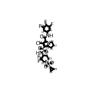 O=C(Nc1cc(F)c(F)c(F)c1)c1c(Cl)c(S(=O)(=O)NC2CCN(S(=O)(=O)C3CC3)CC2(F)F)c2n1CCC2